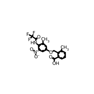 Cc1cccc(C(=O)O)c1COc1cc(C)c(NC(=O)C(F)(F)F)c([N+](=O)[O-])c1